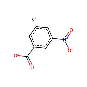 O=C([O-])c1cccc([N+](=O)[O-])c1.[K+]